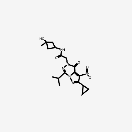 CC(C)c1nn(CC(=O)NC2CC(C)(O)C2)c(=O)c2c([N+](=O)[O-])c(C3CC3)nn12